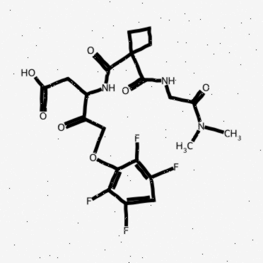 CN(C)C(=O)CNC(=O)C1(C(=O)NC(CC(=O)O)C(=O)COc2c(F)c(F)cc(F)c2F)CCC1